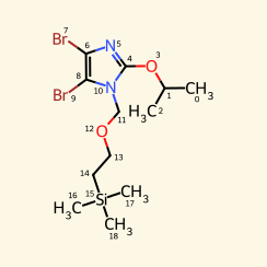 CC(C)Oc1nc(Br)c(Br)n1COCC[Si](C)(C)C